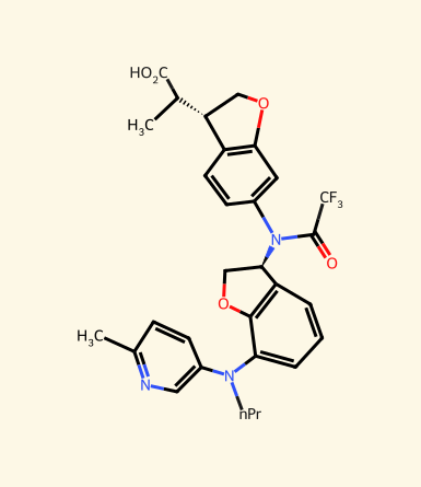 CCCN(c1ccc(C)nc1)c1cccc2c1OC[C@H]2N(C(=O)C(F)(F)F)c1ccc2c(c1)OC[C@H]2C(C)C(=O)O